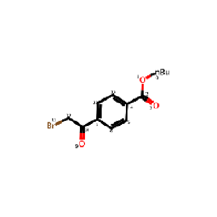 CCCCOC(=O)c1ccc(C(=O)CBr)cc1